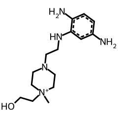 C[N+]1(CCO)CCN(CCNc2cc(N)ccc2N)CC1